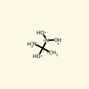 CC(N)(O)N(O)O